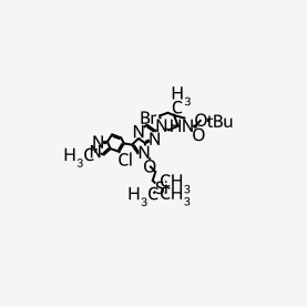 Cn1cc2c(Cl)c(-c3cn(COCC[Si](C)(C)C)c4nc(N5CCC(C)(CNC(=O)OC(C)(C)C)CC5)c(Br)nc34)ccc2n1